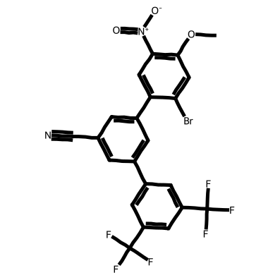 COc1cc(Br)c(-c2cc(C#N)cc(-c3cc(C(F)(F)F)cc(C(F)(F)F)c3)c2)cc1[N+](=O)[O-]